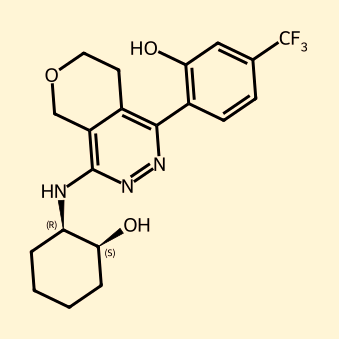 Oc1cc(C(F)(F)F)ccc1-c1nnc(N[C@@H]2CCCC[C@@H]2O)c2c1CCOC2